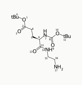 CC(C)(C)OC(=O)CC[C@@H](NC(=O)OC(C)(C)C)C(=O)NCCN